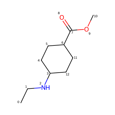 CCNC1CCC(C(=O)OC)CC1